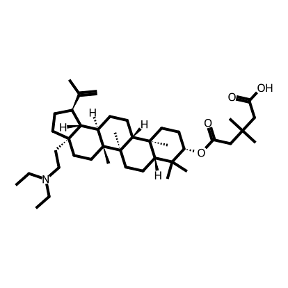 C=C(C)[C@@H]1CC[C@]2(CCN(CC)CC)CC[C@]3(C)[C@H](CC[C@@H]4[C@@]5(C)CC[C@H](OC(=O)CC(C)(C)CC(=O)O)C(C)(C)[C@@H]5CC[C@]43C)[C@@H]12